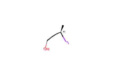 C[C@@H](I)CO